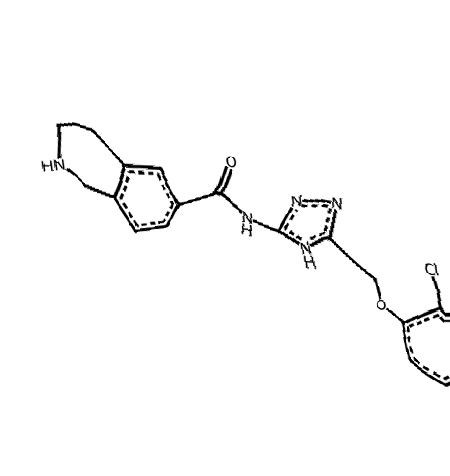 O=C(Nc1nnc(COc2ccccc2Cl)[nH]1)c1ccc2c(c1)CCNC2